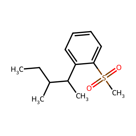 CCC(C)C(C)c1ccccc1S(C)(=O)=O